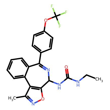 CCNC(=O)NC1N=C(c2ccc(OC(F)(F)F)cc2)c2ccccc2-c2c(C)noc21